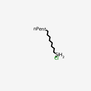 CCCCCCCCCCCCC[SiH2]Cl